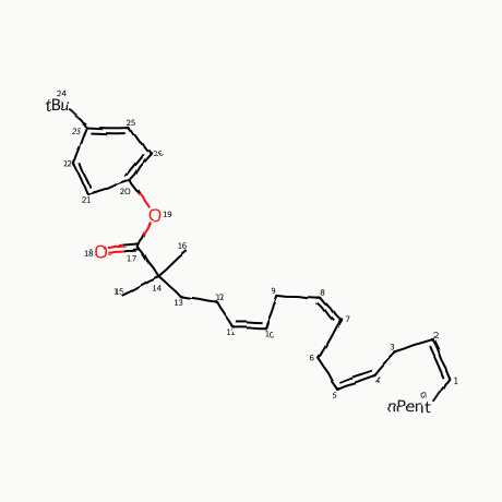 CCCCC/C=C\C/C=C\C/C=C\C/C=C\CCC(C)(C)C(=O)Oc1ccc(C(C)(C)C)cc1